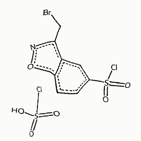 O=S(=O)(Cl)c1ccc2onc(CBr)c2c1.O=S(=O)(O)Cl